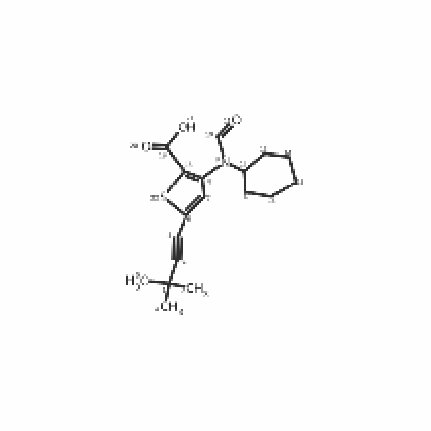 CC(C)(C)C#Cc1cc(N(C=O)C2CCCCC2)c(C(=O)O)s1